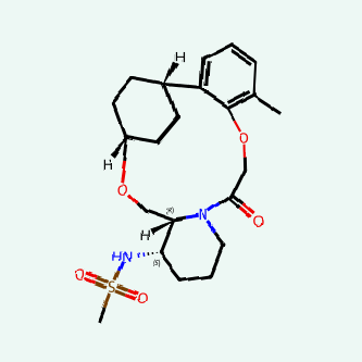 Cc1cccc2c1OCC(=O)N1CCC[C@H](NS(C)(=O)=O)[C@@H]1CO[C@H]1CC[C@@H]2CC1